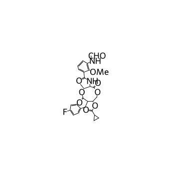 COc1c(NC=O)cccc1C(=O)NC1C(=O)OCC(OC(=O)C2CC2)C(Cc2ccc(F)cc2)C(=O)OC1C